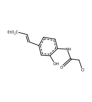 CCOC(=O)/C=C/c1ccc(NC(=O)CCl)c(O)c1